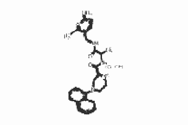 Cc1nc(N)ccc1CNC(=O)C(C)NC(=O)C1CN(c2cccc3ccccc23)CCN1.Cl.Cl